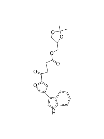 CC1(C)OCC(COC(=O)CCC(=O)c2cc(-c3c[nH]c4ccccc34)co2)O1